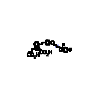 O=C(O)CCCc1cn(CC(=O)O)c2c(C=Cc3ccc(OC/C=C/COc4ccc(F)cc4F)cc3)cccc12